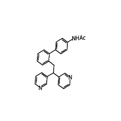 CC(=O)Nc1ccc(-c2ccccc2CC(c2cccnc2)c2cccnc2)cc1